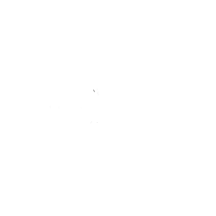 Cn1c(=O)oc2cc(Cl)ccc21